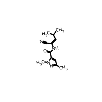 Cc1cc(C(=O)NC(C#N)=CC(C)C)n(C)n1